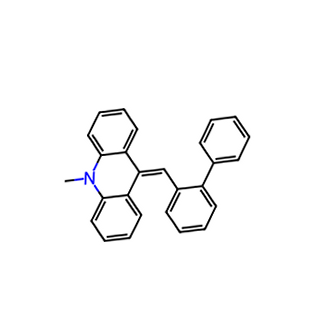 CN1c2ccccc2C(=Cc2ccccc2-c2ccccc2)c2ccccc21